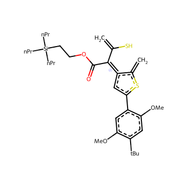 C=C(S)/C(C(=O)OCC[Si](CCC)(CCC)CCC)=c1/cc(-c2cc(OC)c(C(C)(C)C)cc2OC)sc1=C